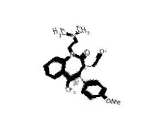 C#CC[C@H]1C(=O)N(CCN(C)C)c2ccccc2C(C(F)(F)F)[C@H]1c1ccc(OC)cc1